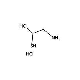 Cl.NCC(O)S